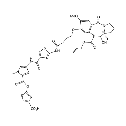 C=CCOC(=O)N1c2cc(OCCCC(=O)Nc3nc(C(=O)Nc4cc(C(=O)Oc5nc(C(=O)O)cs5)n(C)c4)cs3)c(OC)cc2C(=O)N2CCC[C@H]2C1O